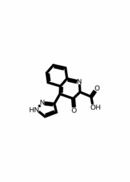 O=C(O)C1N=c2ccccc2=C(c2cc[nH]n2)C1=O